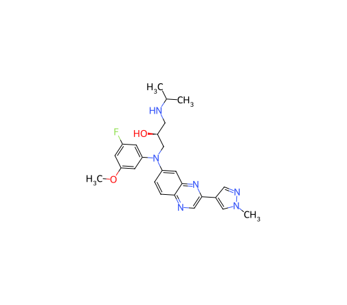 COc1cc(F)cc(N(C[C@@H](O)CNC(C)C)c2ccc3ncc(-c4cnn(C)c4)nc3c2)c1